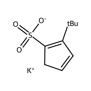 CC(C)(C)C1=C(S(=O)(=O)[O-])CC=C1.[K+]